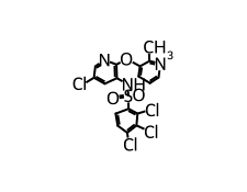 Cc1ncccc1Oc1ncc(Cl)cc1NS(=O)(=O)c1ccc(Cl)c(Cl)c1Cl